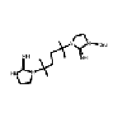 CC(C)(C)N1CCN(C(C)(C)CCC(C)(C)N2CCNC2=N)C1=N